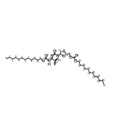 CCCCCCCCCCCCOC(=O)Nc1nc(=O)n([C@H]2CS[C@@H](COC(=O)OCCCCCCCCCCCC)O2)cc1F